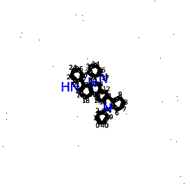 c1ccc(-n2c3ccccc3c3cc4c(cc32)c2ccc3[nH]c5ccccc5c3c2n2c3ccccc3nc42)cc1